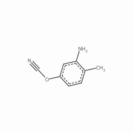 Cc1ccc(OC#N)cc1N